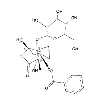 C[C@]12C[C@@H](O)C3C[C@@]1(OC1OC(CO)C(O)C(O)C1O)[C@@]3(COC(=O)c1ccccc1)C(=O)O2